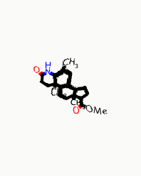 COC(=O)C1CCC2C3CC(C)=C4NC(=O)CCC4(C)C3CCC12C